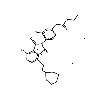 CCOC(=O)Cc1ccc(N2C(=O)c3c(Cl)ccc(CCC4CCCCC4)c3C2=O)c(Cl)c1